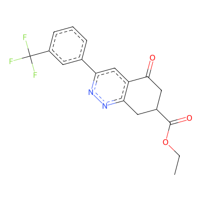 CCOC(=O)C1CC(=O)c2cc(-c3cccc(C(F)(F)F)c3)nnc2C1